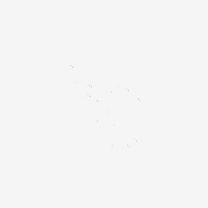 CC(=O)N1CCC(n2cc(-c3cnc(N)c4oc(-c5c(F)ccc6nnsc56)cc34)cn2)CC1